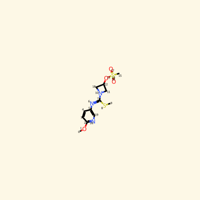 COc1ccc(/N=C(\SC)N2CC(OS(C)(=O)=O)C2)cn1